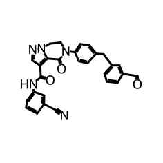 N#Cc1cccc(NC(=O)c2cnn3c2C(=O)N(c2ccc(Cc4cccc(C=O)c4)cc2)CC3)c1